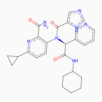 NC(=O)c1nc(C2CC2)ccc1N(C(=O)c1cnc[nH]1)[C@H](C(=O)NC1CCCCC1)c1cccnc1